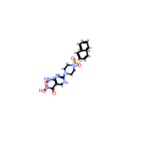 O=C1c2cnc(N3CCN(S(=O)(=O)c4ccc5ccccc5c4)CC3)nc2NON1O